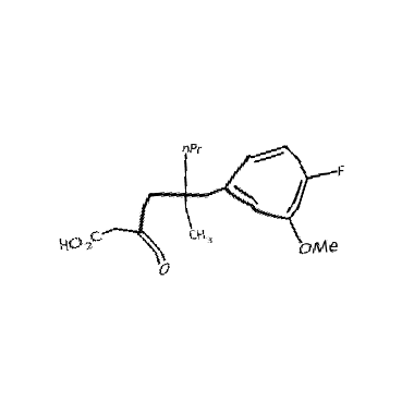 CCCC(C)(CC(=O)C(=O)O)c1ccc(F)c(OC)c1